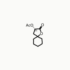 CC(=O)O[C@H]1CC2(CCCCC2)OC1=O